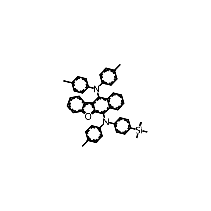 Cc1ccc(N(c2ccc([Si](C)(C)C)cc2)c2c3ccccc3c(N(c3ccc(C)cc3)c3ccc(C)cc3)c3c2oc2ccccc23)cc1